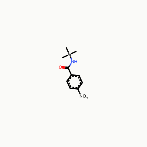 C[Si](C)(C)NC(=O)c1ccc([N+](=O)[O-])cc1